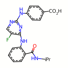 CC(C)NC(=O)c1ccccc1Nc1nc(Nc2ccc(C(=O)O)cc2)ncc1F